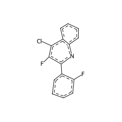 Fc1ccccc1-c1nc2ccccc2c(Cl)c1F